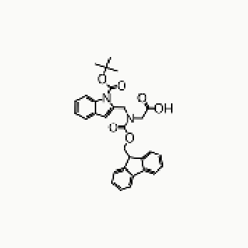 CC(C)(C)OC(=O)n1c(CN(CC(=O)O)C(=O)OCC2c3ccccc3-c3ccccc32)cc2ccccc21